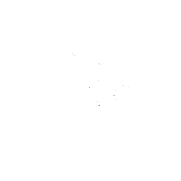 C1=CCC(c2ccccc2-c2ccccc2)(N(c2cccc(-c3ccc4ccccc4c3)c2)c2cccc3c2c2ccccc2n3-c2ccccc2)C(c2ccccc2)=C1